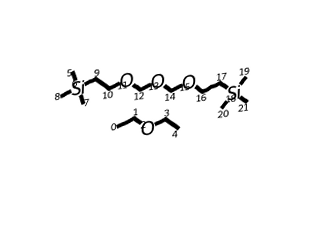 CCOCC.C[Si](C)(C)CCOCOCOCC[Si](C)(C)C